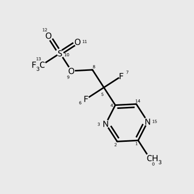 Cc1cnc(C(F)(F)COS(=O)(=O)C(F)(F)F)cn1